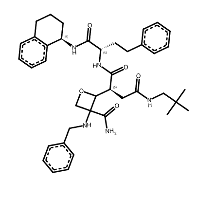 CC(C)(C)CNC(=O)C[C@H](C(=O)N[C@@H](CCc1ccccc1)C(=O)N[C@@H]1CCCc2ccccc21)C1OCC1(NCc1ccccc1)C(N)=O